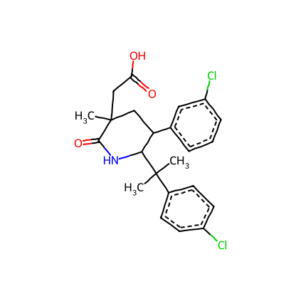 CC1(CC(=O)O)CC(c2cccc(Cl)c2)C(C(C)(C)c2ccc(Cl)cc2)NC1=O